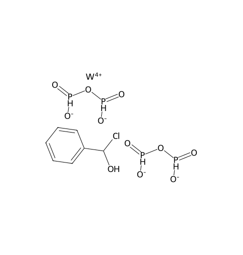 O=[PH]([O-])O[PH](=O)[O-].O=[PH]([O-])O[PH](=O)[O-].OC(Cl)c1ccccc1.[W+4]